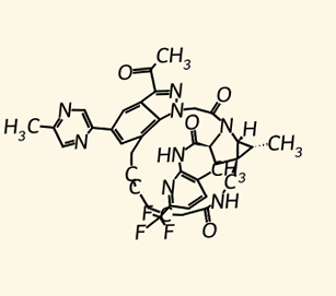 CC(=O)c1nn2c3c(cc(-c4cnc(C)cn4)cc13)CCCCCCC(=O)NC[C@@]13C[C@@H](C(=O)Nc4nc(C(F)(F)F)ccc4C)N(C(=O)C2)[C@@H]1[C@@H]3C